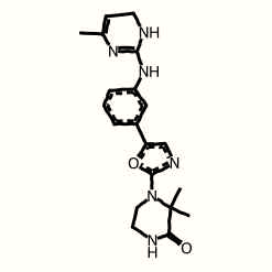 CC1=CCNC(Nc2cccc(-c3cnc(N4CCNC(=O)C4(C)C)o3)c2)=N1